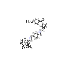 Cc1ccc(C(=O)c2ccn(C/C=C/c3ccc(/C=C/COC(C)(C)C(=O)O)cc3)c2)cc1